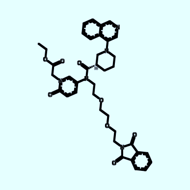 CCOC(=O)Cn1cc(N(CCOCCOCCN2C(=O)c3ccccc3C2=O)C(=O)[C@H]2CCCN(c3cncc4ccccc34)C2)ccc1=O